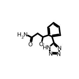 NC(=O)CC([O])c1ccccc1-c1nnn[nH]1